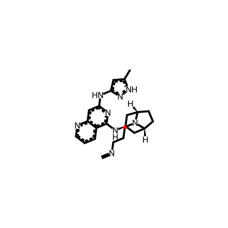 C=NCCCN1[C@@H]2CC[C@H]1C[C@H](Nc1nc(Nc3cc(C)[nH]n3)cc3ncccc13)C2